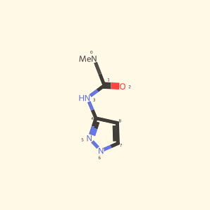 CNC(=O)NC1=N[N]C=C1